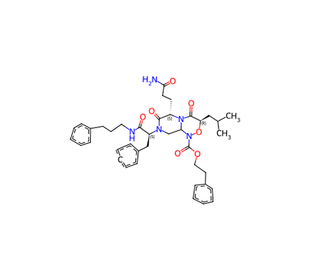 CC(C)C[C@H]1ON(C(=O)OCCc2ccccc2)C2CN([C@@H](Cc3ccccc3)C(=O)NCCCc3ccccc3)C(=O)[C@H](CCC(N)=O)N2C1=O